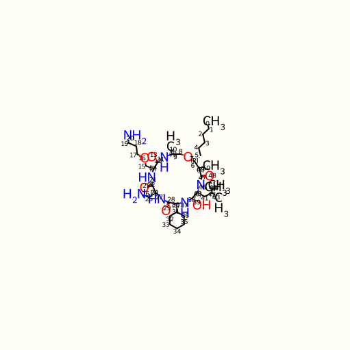 CCCCCC[C@H]1OC[C@@H](C)NC(=O)[C@H](COCCCN)NC(=O)[C@H](CN)NC(=O)[C@H](C2CCCCC2)NC(O)[C@H](CC(C)C)N(C)C(=O)[C@@H]1C